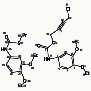 CCOc1ccc(NC(=O)OCC#CCCl)cc1OCC.CCOc1ccc(NC(=O)SC(C)C)cc1OCC